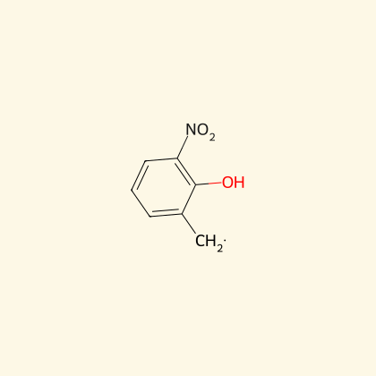 [CH2]c1cccc([N+](=O)[O-])c1O